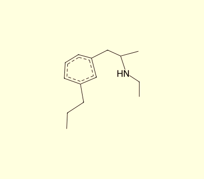 CCCc1cccc(CC(C)NCC)c1